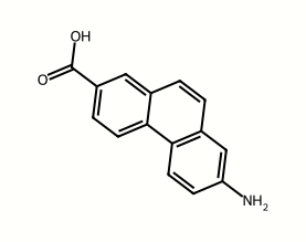 Nc1ccc2c(ccc3cc(C(=O)O)ccc32)c1